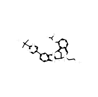 CC(C)(O)c1ncc(-c2ccc3nc4n(c3c2)C2=c3c(OC(F)F)cccc3=CN(CCO)[C@@H]4C2)cn1